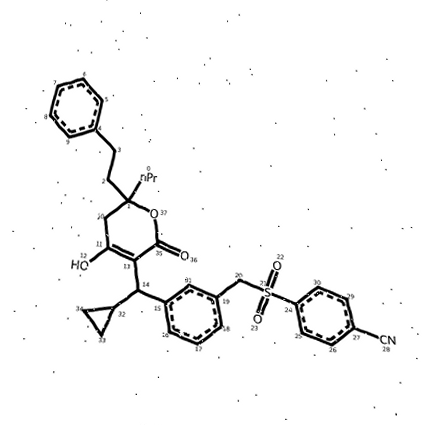 CCCC1(CCc2ccccc2)CC(O)=C(C(c2cccc(CS(=O)(=O)c3ccc(C#N)cc3)c2)C2CC2)C(=O)O1